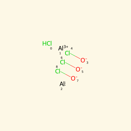 Cl.[Al+3].[Al].[O-]Cl.[O-]Cl.[O-]Cl